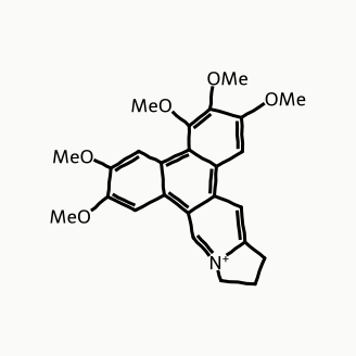 COc1cc2c3c[n+]4c(cc3c3cc(OC)c(OC)c(OC)c3c2cc1OC)CCC4